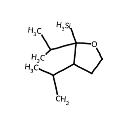 CC(C)C1CCOC1([SiH3])C(C)C